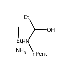 CCC.CCCCCNC(O)CC.N